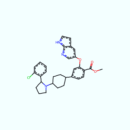 COC(=O)c1ccc(C2CCC(N3CCCC3c3ccccc3Cl)CC2)cc1Oc1cnc2[nH]ccc2c1